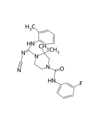 Cc1ccccc1N/C(=N/C#N)N1CCN(C(=O)Nc2cccc(F)c2)CC1(C)C